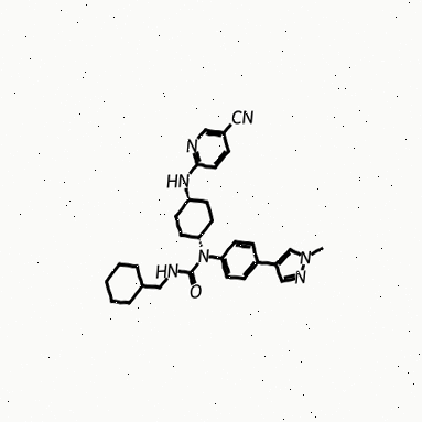 Cn1cc(-c2ccc(N(C(=O)NCC3CCCCC3)[C@H]3CC[C@H](Nc4ccc(C#N)cn4)CC3)cc2)cn1